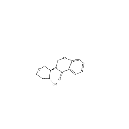 O=C1c2ccccc2OCN1[C@@H]1CCCC[C@H]1O